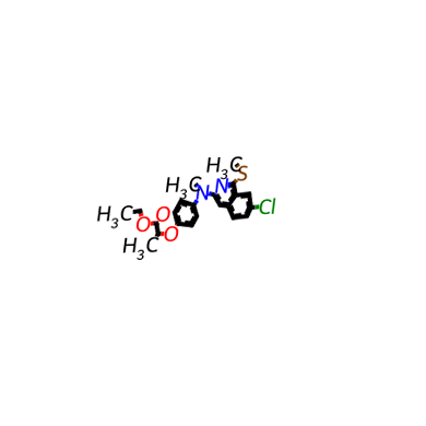 CCOC(=O)C(C)Oc1ccc(N(C)c2cc3ccc(Cl)cc3c(SC)n2)cc1